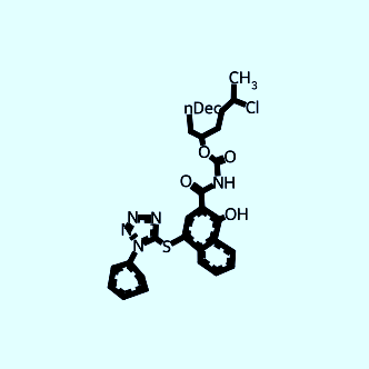 CCCCCCCCCCCC(CCC(C)Cl)OC(=O)NC(=O)c1cc(Sc2nnnn2-c2ccccc2)c2ccccc2c1O